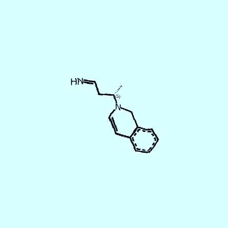 C[C@@H](CC=N)N1C=Cc2ccccc2C1